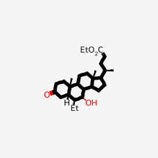 CCOC(=O)CC[C@@H](C)C1CCC2C3C(CC[C@@]21C)[C@@]1(C)CCC(=O)C[C@H]1[C@H](CC)[C@H]3O